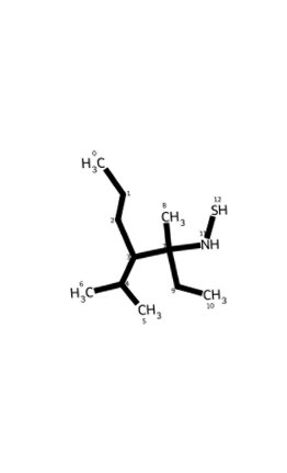 CCCC(C(C)C)C(C)(CC)NS